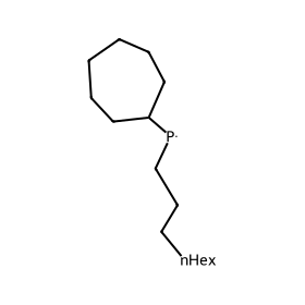 CCCCCCCCC[P]C1CCCCCC1